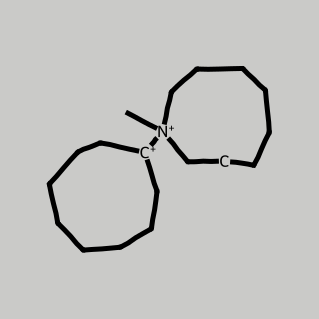 C[N+]1([C+]2CCCCCCCC2)CCCCCCCC1